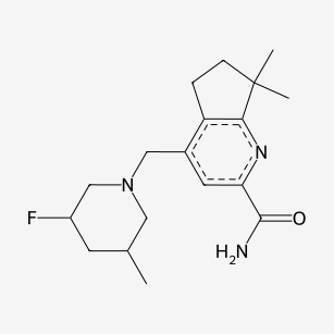 CC1CC(F)CN(Cc2cc(C(N)=O)nc3c2CCC3(C)C)C1